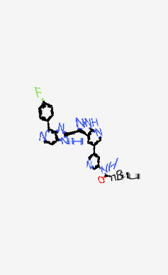 CCCCC(=O)Nc1cncc(-c2cnc3[nH]nc(-c4nc5c(-c6ccc(F)cc6)nccc5[nH]4)c3c2)c1